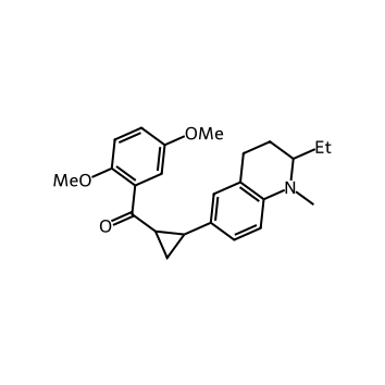 CCC1CCc2cc(C3CC3C(=O)c3cc(OC)ccc3OC)ccc2N1C